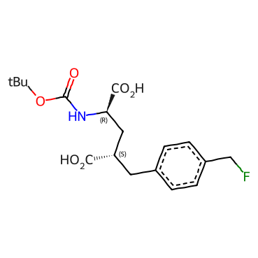 CC(C)(C)OC(=O)N[C@H](C[C@H](Cc1ccc(CF)cc1)C(=O)O)C(=O)O